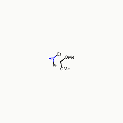 CCNCC.COCOC